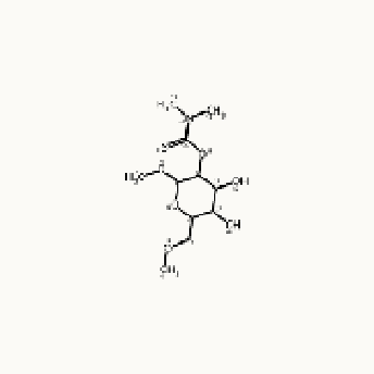 COCC1OC(OC)C(OC(=S)N(C)C)C(O)C1O